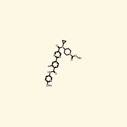 COc1ccc(NC(=O)c2ccc(-c3ncc(C(=O)N(C4CC4)C4CCN(C(=O)OC(C)(C)C)CC4)cn3)cc2F)cn1